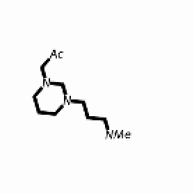 CNCCCN1CCCN(CC(C)=O)C1